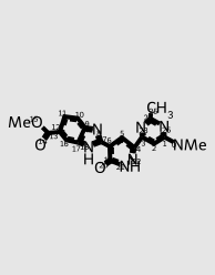 CNc1cc(-c2cc(-c3nc4ccc(C(=O)OC)cc4[nH]3)c(=O)[nH]n2)nc(C)n1